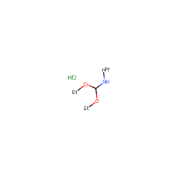 CCCNC(OCC)OCC.Cl